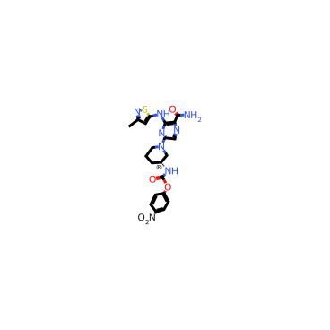 Cc1cc(Nc2nc(N3CCC[C@@H](NC(=O)Oc4ccc([N+](=O)[O-])cc4)C3)cnc2C(N)=O)sn1